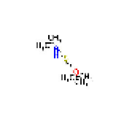 CC(C)CNCCSCCCOC(C)(C)C